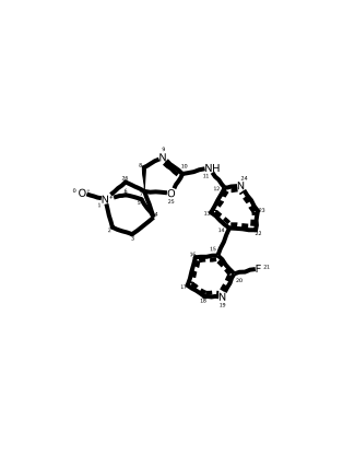 [O-][N+]12CCC(CC1)[C@]1(CN=C(Nc3cc(-c4cccnc4F)ccn3)O1)C2